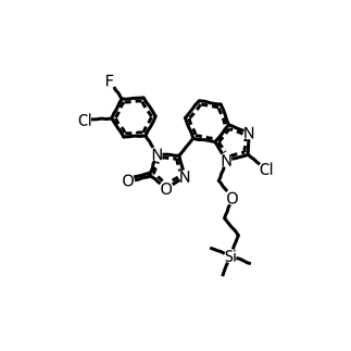 C[Si](C)(C)CCOCn1c(Cl)nc2cccc(-c3noc(=O)n3-c3ccc(F)c(Cl)c3)c21